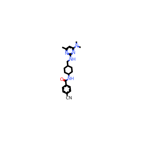 Cc1cc(N(C)C)nc(NCC2CCC(NC(=O)c3ccc(C#N)cc3)CC2)n1